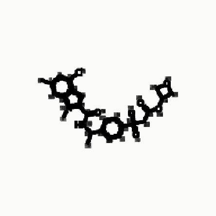 Cc1cc(Cl)c2cc(C(=O)NC(C)c3ccc(S(=O)(=O)CC(=O)OC4COC4)cc3)n(C)c2c1